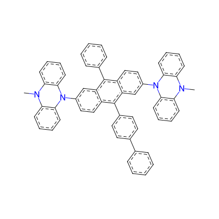 CN1c2ccccc2N(c2ccc3c(-c4ccc(-c5ccccc5)cc4)c4cc(N5c6ccccc6N(C)c6ccccc65)ccc4c(-c4ccccc4)c3c2)c2ccccc21